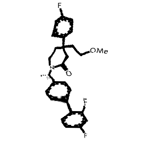 COCCC1(c2ccc(F)cc2)CCN([C@@H](C)c2ccc(-c3ccc(F)cc3F)cc2)C(=O)C1